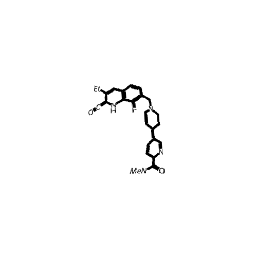 CCC1=Cc2ccc(CN3C=CC(=C4C=CC(C(=O)NC)N=C4)CC3)c(F)c2NC1=C=O